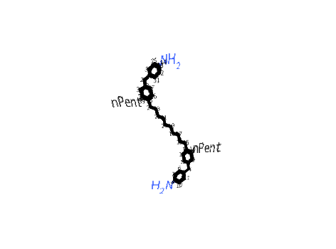 CCCCCc1cc(Cc2ccc(N)cc2)ccc1CCCCCCCCCCc1ccc(Cc2ccc(N)cc2)cc1CCCCC